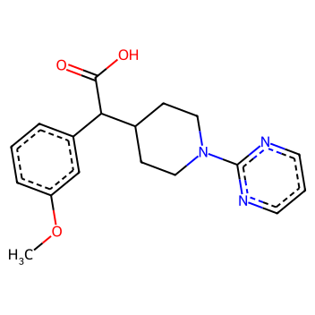 COc1cccc(C(C(=O)O)C2CCN(c3ncccn3)CC2)c1